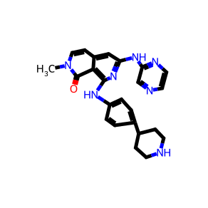 Cn1ccc2cc(Nc3cnccn3)nc(Nc3ccc(C4CCNCC4)cc3)c2c1=O